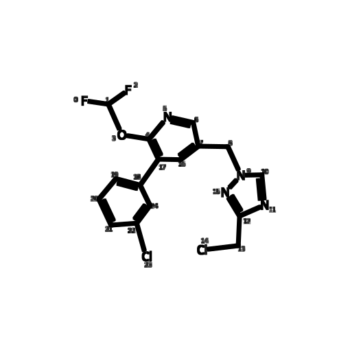 FC(F)Oc1ncc(Cn2cnc(CCl)n2)cc1-c1cccc(Cl)c1